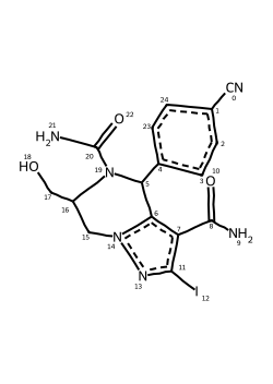 N#Cc1ccc(C2c3c(C(N)=O)c(I)nn3CC(CO)N2C(N)=O)cc1